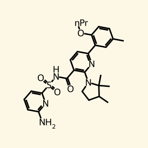 CCCOc1ccc(C)cc1-c1ccc(C(=O)NS(=O)(=O)c2cccc(N)n2)c(N2CCC(C)C2(C)C)n1